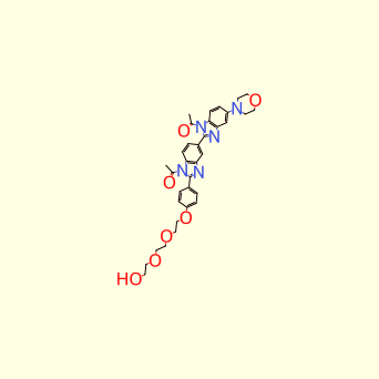 CC(=O)n1c(-c2ccc(OCCOCCOCCO)cc2)nc2cc(-c3nc4cc(N5CCOCC5)ccc4n3C(C)=O)ccc21